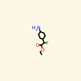 CCOC(=O)C(F)C1CCC(N)CC1